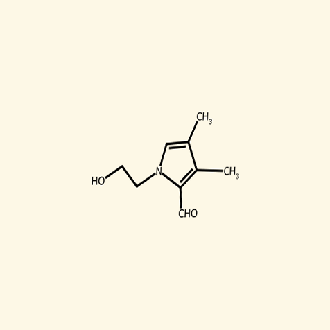 Cc1cn(CCO)c(C=O)c1C